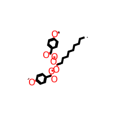 [CH2]CCCCCCCC[C](OOC(=O)c1ccc(OC)cc1)OOC(=O)c1ccc(OC)cc1